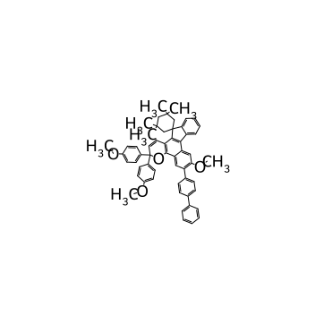 COc1ccc(C2(c3ccc(OC)cc3)C=Cc3c4c(c5cc(OC)c(-c6ccc(-c7ccccc7)cc6)cc5c3O2)-c2ccccc2C42CC(C)(C)CC(C)(C)C2)cc1